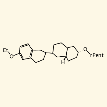 CCCCCO[C@@H]1CC[C@@H]2CC(C3CCc4cc(OCC)ccc4C3)CCC2C1